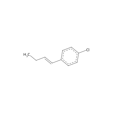 CCC=Cc1ccc(Cl)cc1